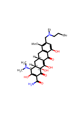 CCN(CCC(C)(C)C)Cc1cc(O)c2c(c1OC)C[C@H]1C[C@H]3[C@H](N(C)C)C(O)=C(C(N)=O)C(=O)[C@@]3(O)C(O)=C1C2=O